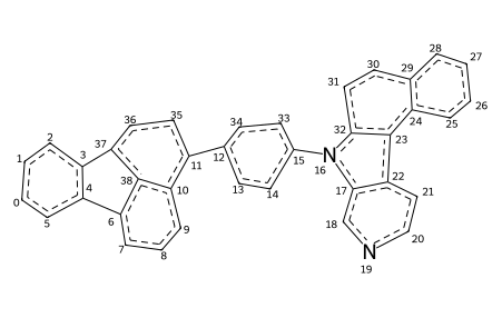 c1ccc2c(c1)-c1cccc3c(-c4ccc(-n5c6cnccc6c6c7ccccc7ccc65)cc4)ccc-2c13